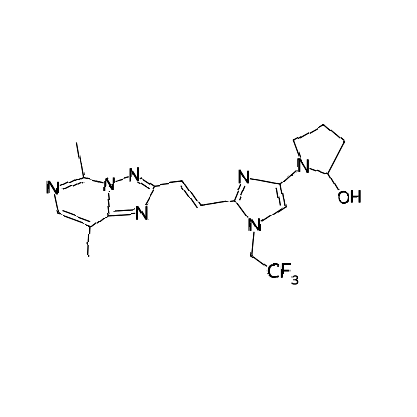 Cc1cnc(C)n2nc(/C=C/c3nc(N4CCCC4O)cn3CC(F)(F)F)nc12